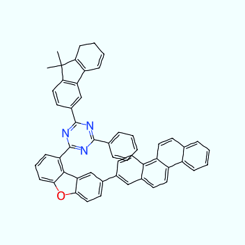 CC1(C)C2=C(C=CCC2)c2cc(-c3nc(-c4ccccc4)nc(-c4cccc5oc6ccc(-c7ccc8c(ccc9c%10ccccc%10ccc89)c7)cc6c45)n3)ccc21